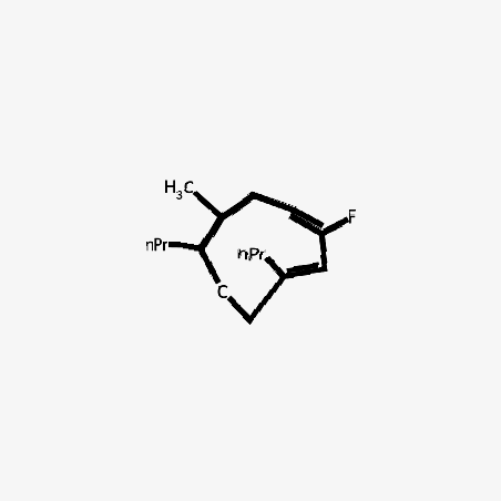 CCC/C1=C\C(F)=C/CC(C)C(CCC)CC1